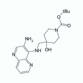 CC(C)(C)OC(=O)N1CCC(O)(CNc2c(N)cnc3cccnc23)CC1